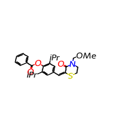 COCN1CCS/C(=C/c2cc(C(C)C)c(OC(=O)c3ccccc3)c(C(C)C)c2)C1=O